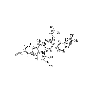 C#Cc1ccc2c(c1)[nH]c1c2c(=O)c2cc(OCC(C)C)c(-c3cccc(OS(=O)(=O)F)c3)cc2n1C1CN(C)C1